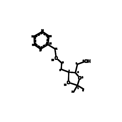 CC1(C)OC(CO)C(CCOCc2ccccc2)O1